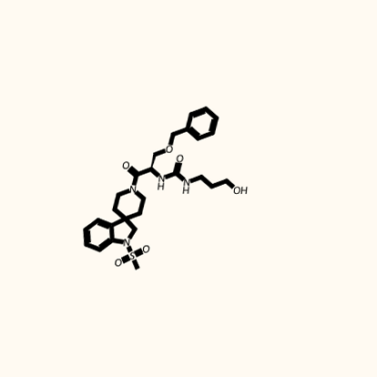 CS(=O)(=O)N1CC2(CCN(C(=O)[C@@H](COCc3ccccc3)NC(=O)NCCCO)CC2)c2ccccc21